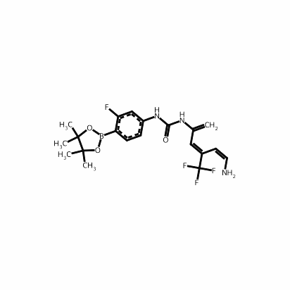 C=C(/C=C(\C=C/N)C(F)(F)F)NC(=O)Nc1ccc(B2OC(C)(C)C(C)(C)O2)c(F)c1